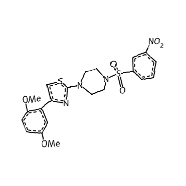 COc1ccc(OC)c(-c2csc(N3CCN(S(=O)(=O)c4cccc([N+](=O)[O-])c4)CC3)n2)c1